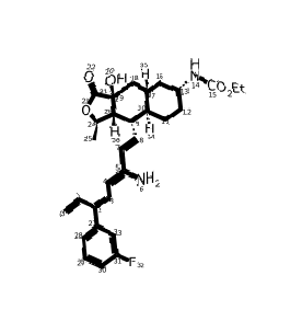 C=C\C(=C/C=C(N)/C=C/[C@H]1[C@@H]2CC[C@@H](NC(=O)OCC)C[C@H]2C[C@@]2(O)C(=O)O[C@H](C)[C@@H]12)c1cccc(F)c1